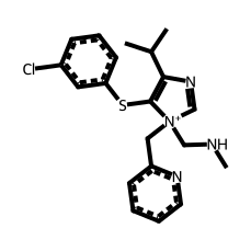 CNC[N+]1(Cc2ccccn2)C=NC(C(C)C)=C1Sc1cccc(Cl)c1